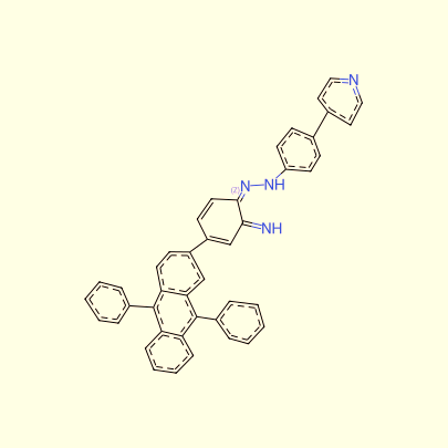 N=C1C=C(c2ccc3c(-c4ccccc4)c4ccccc4c(-c4ccccc4)c3c2)C=C/C1=N/Nc1ccc(-c2ccncc2)cc1